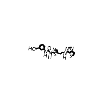 C#Cc1cccc(NC(=O)Nc2ncc(CCNc3ncnc4ccsc34)s2)c1